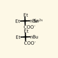 CCCCC(CC)(CC)C(=O)[O-].CCCCC(CC)(CC)C(=O)[O-].[Sn+2]